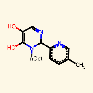 CCCCCCCCN1C(O)=C(O)C=NC1c1ccc(C)cn1